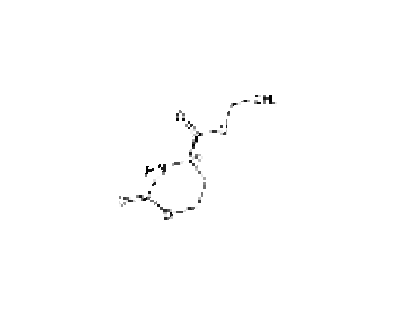 CCOC(=O)[C@H]1CCOC(=O)N1